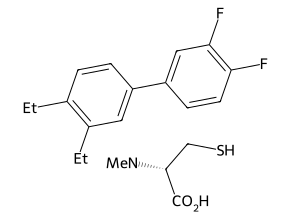 CCc1ccc(-c2ccc(F)c(F)c2)cc1CC.CN[C@H](CS)C(=O)O